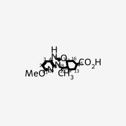 COc1ccc2[nH]c(=O)n([C@@H](C)C3CCC(C(=O)O)CC3)c2n1